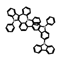 c1ccc(N2c3ccccc3-c3c(n(-c4ccccc4)c4ccccc34)-c3cccc(-c4ccc5c(c4)c4cc(-n6c7ccccc7c7ccccc76)ccc4n5-c4ccccc4)c32)cc1